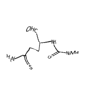 CNC(=O)NC(C=O)CCC(N)=S